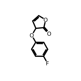 O=C1OC=CC1Oc1ccc(F)cc1